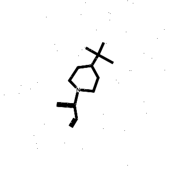 C=CC(=C)N1CCC(C(C)(C)C)CC1